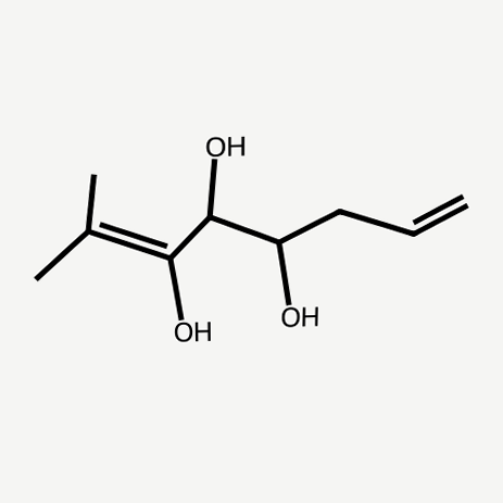 C=CCC(O)C(O)C(O)=C(C)C